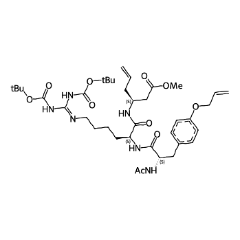 C=CCOc1ccc(C[C@H](NC(C)=O)C(=O)N[C@@H](CCCCN=C(NC(=O)OC(C)(C)C)NC(=O)OC(C)(C)C)C(=O)N[C@@H](CC=C)CC(=O)OC)cc1